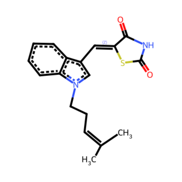 CC(C)=CCCn1cc(/C=C2\SC(=O)NC2=O)c2ccccc21